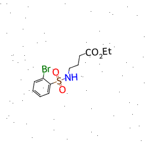 CCOC(=O)CCCNS(=O)(=O)c1ccccc1Br